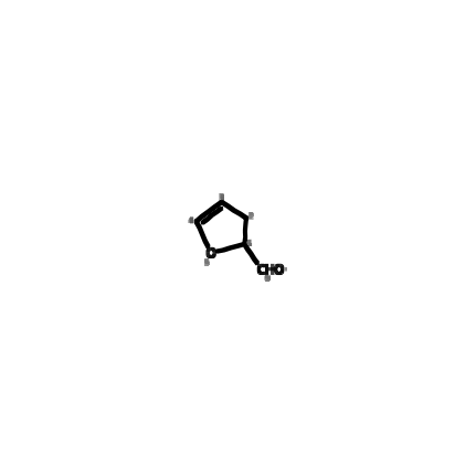 O=[C]C1CC=CO1